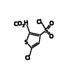 O=C(O)c1sc(Cl)cc1S(=O)(=O)Cl